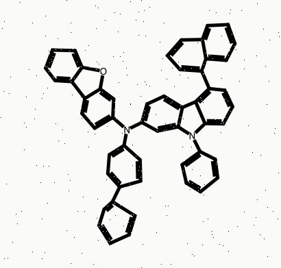 c1ccc(-c2ccc(N(c3ccc4c(c3)oc3ccccc34)c3ccc4c5c(-c6cccc7ccccc67)cccc5n(-c5ccccc5)c4c3)cc2)cc1